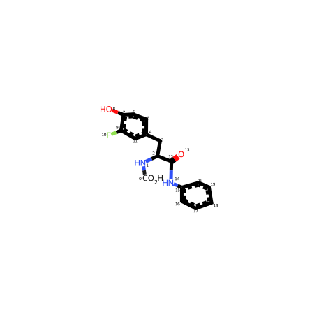 O=C(O)NC(Cc1ccc(O)c(F)c1)C(=O)Nc1ccccc1